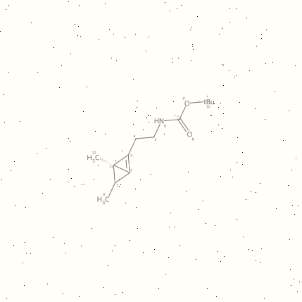 CC1C2=C(CCNC(=O)OC(C)(C)C)[C@@]21C